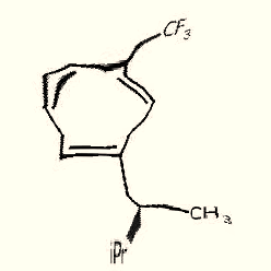 CC(C)[C@H](C)c1cccc(C(F)(F)F)c1